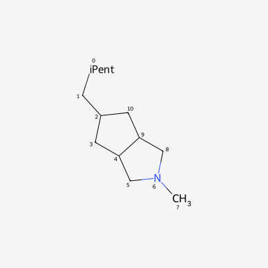 CCCC(C)CC1CC2CN(C)CC2C1